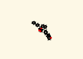 c1ccc(-c2ccc(-n3c4ccccc4c4c5c(N(c6ccccc6)c6ccc(C78CC9CC%10CC(C7)C98C%10)cc6)cccc5ccc43)cc2)cc1